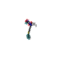 CC1(C)C(=O)N(c2ccc([N+](=O)[O-])c(C(F)(F)F)c2)C(=O)N1CCCCCCCCCSCCC(F)(F)C(F)(F)C(F)(F)C(F)(F)F